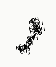 C[N+](C)(CB(F)F)Cc1cn(Cc2ccc(C(=O)NCCCC[C@H](NC(=O)N[C@@H](CCC(=O)O)C(=O)O)C(=O)O)cn2)nn1